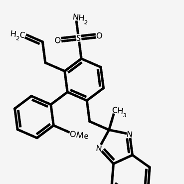 C=CCc1c(S(N)(=O)=O)ccc(CC2(C)N=c3ccccc3=N2)c1-c1ccccc1OC